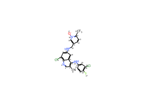 N#Cc1cnc2c(Cl)cc(NCc3ccc(C(F)(F)F)[n+]([O-])c3)cc2c1Nc1ccc(F)c(Cl)c1